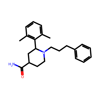 Cc1cccc(C)c1C1CC(C(N)=O)CCN1CCCc1ccccc1